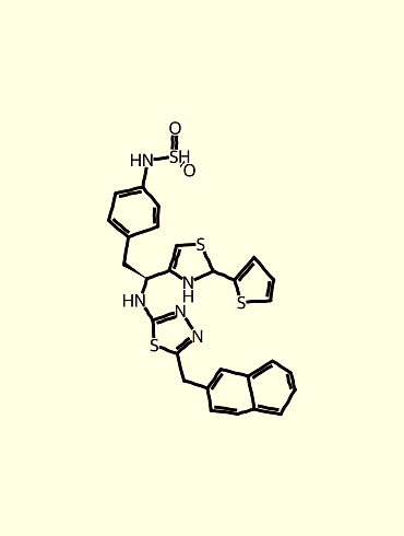 O=[SH](=O)Nc1ccc(C[C@H](Nc2nnc(Cc3ccc4ccccc4c3)s2)C2=CSC(c3cccs3)N2)cc1